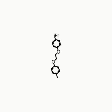 Cc1ccc(OCCOc2ccc(C(C)C)cc2)cc1